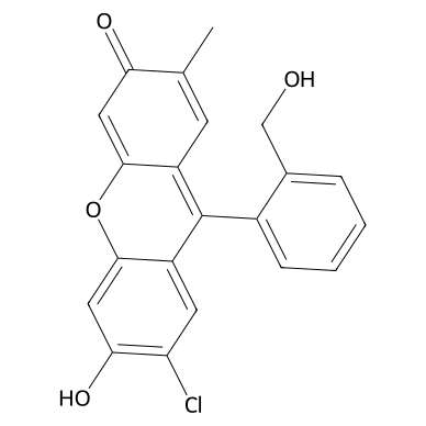 Cc1cc2c(-c3ccccc3CO)c3cc(Cl)c(O)cc3oc-2cc1=O